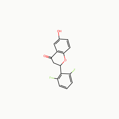 O=C1CC(c2c(F)cccc2F)Oc2ccc(O)cc21